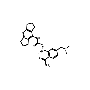 CN(C)Cc1ccc(C(N)=O)c(/[SH](=O)=N/C(=O)Nc2c3c(cc4c2CCC4)CCC3)c1